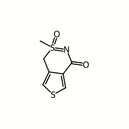 CS1(=O)=NC(=O)c2cscc2C1